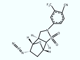 N#Cc1ccc(N2C[C@@H]3[C@@H]4O[C@@H](C[C@@H]4N=[N+]=[N-])[C@@H]3S2(=O)=O)cc1C(F)(F)F